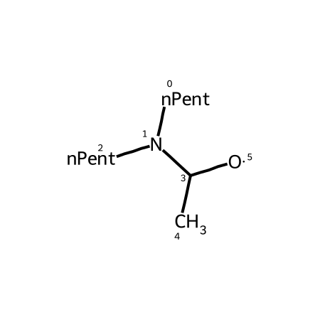 CCCCCN(CCCCC)C(C)[O]